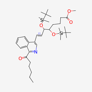 CCCCCC(=O)c1ncc(/C=C/C(O[Si](C)(C)C(C)(C)C)C(CCCC(=O)OC)O[Si](C)(C)C(C)(C)C)c2ccccc12